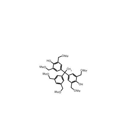 COCc1cc(COC)cc(C(C)(c2cc(COC)c(O)c(COC)c2)c2cc(COC)c(O)c(COC)c2)c1